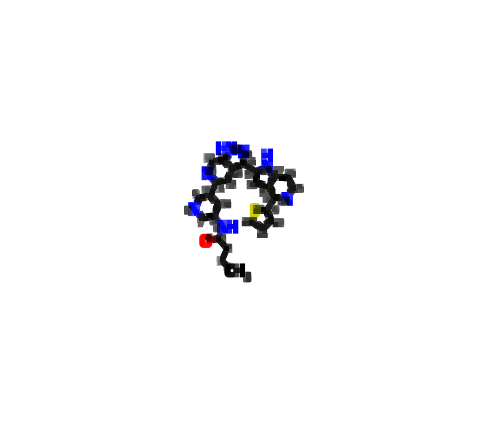 CCCC(=O)Nc1cncc(-c2cc3c(-c4cc5c(-c6cccs6)nccc5[nH]4)n[nH]c3cn2)c1